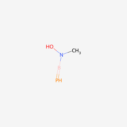 CN(O)B=P